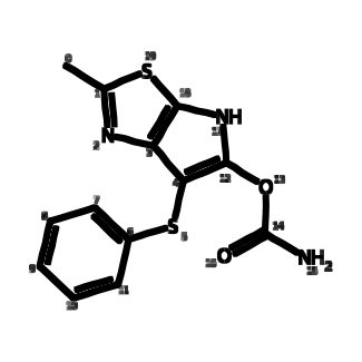 Cc1nc2c(Sc3ccccc3)c(OC(N)=O)[nH]c2s1